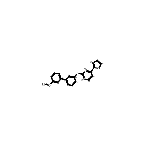 CCOc1cccc(-c2cccc(Nc3nccc(-c4nccs4)n3)c2)c1